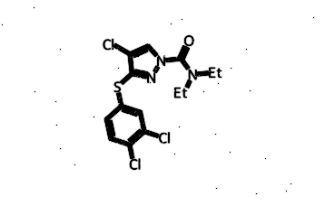 CCN(CC)C(=O)n1cc(Cl)c(Sc2ccc(Cl)c(Cl)c2)n1